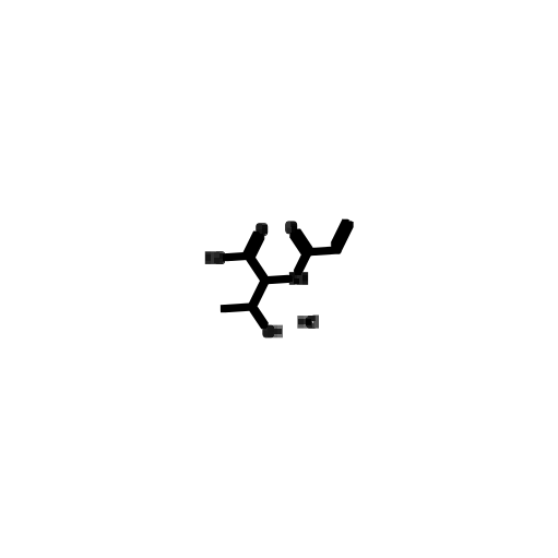 C=CC(=O)NC(C(=O)O)C(C)O.Cl